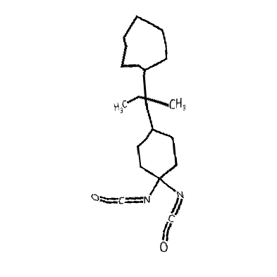 CC(C)(C1CCCCC1)C1CCC(N=C=O)(N=C=O)CC1